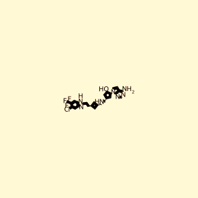 Nc1ncnc2c1ccn2[C@@H]1C[C@H](CNC[C@H]2C[C@H](CCc3nc4cc(Cl)c(C(F)(F)F)cc4[nH]3)C2)C[C@H]1O